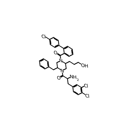 NC(Cc1ccc(Cl)c(Cl)c1)C(=O)N1CC(CCCO)N(C(=O)c2ccccc2-c2ccc(Cl)cc2)CC1Cc1ccccc1